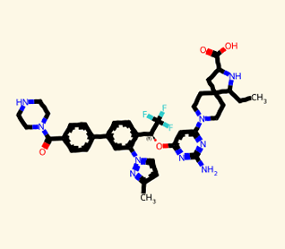 CCC1NC(C(=O)O)CC12CCN(c1cc(O[C@H](c3ccc(-c4ccc(C(=O)N5CCNCC5)cc4)cc3-n3ccc(C)n3)C(F)(F)F)nc(N)n1)CC2